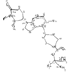 CC(C)(C)OC(=O)N1CCC(c2c(F)ccc3c2CCN3[C@H]2CCC(=O)NC2=O)CC1